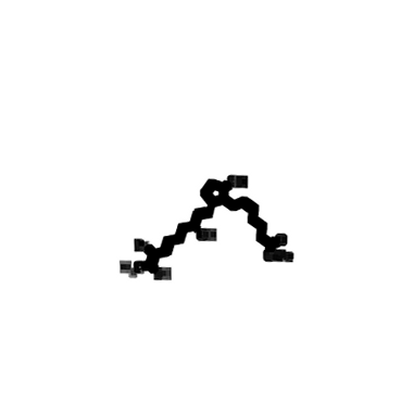 COC(=O)CCC/C=C\CC1C(O)CC[C@@H]1/C=C/[C@@H](O)CC/C=C/C(Br)=C(/C)S